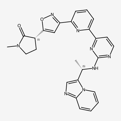 C[C@H](Nc1nccc(-c2cccc(-c3cc([C@@H]4CCN(C)C4=O)on3)n2)n1)c1cnc2ccccn12